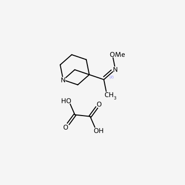 CO/N=C(/C)C12CCCN(C1)C2.O=C(O)C(=O)O